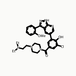 CCN(CC)CCN1CCN(C(=O)c2cc(Cl)c(O)c(-c3cnc4[nH]nc(-c5ccccc5OC)c4c3)c2)CC1